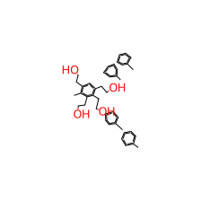 Cc1c(CCO)cc(CCO)c(CCO)c1CCO.Cc1ccccc1.Cc1ccccc1.Cc1ccccc1.Cc1ccccc1